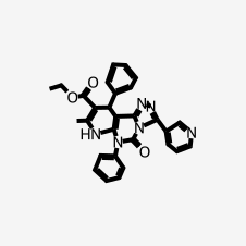 CCOC(=O)C1=C(C)Nc2c(c3nnc(-c4cccnc4)n3c(=O)n2-c2ccccc2)C1c1ccccc1